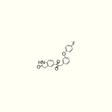 O=C1Cc2cc(S(=O)(=O)Cc3cccc(Oc4ccc(F)cc4)c3)ccc2N1